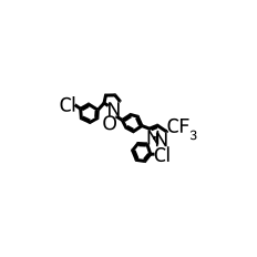 O=C(c1ccc(-c2cc(C(F)(F)F)nn2-c2ccccc2Cl)cc1)N1CCCC1c1cccc(Cl)c1